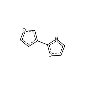 [c]1occc1-c1ncco1